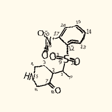 [CH2]C(C1CCNCC1=O)S(=O)(=O)c1ccccc1[N+](=O)[O-]